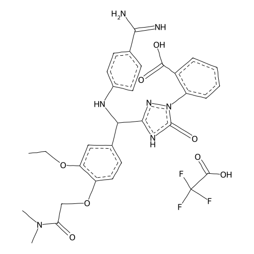 CCOc1cc(C(Nc2ccc(C(=N)N)cc2)c2nn(-c3ccccc3C(=O)O)c(=O)[nH]2)ccc1OCC(=O)N(C)C.O=C(O)C(F)(F)F